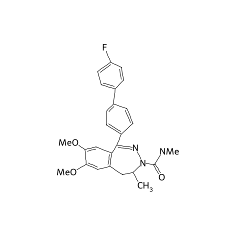 CNC(=O)N1N=C(c2ccc(-c3ccc(F)cc3)cc2)c2cc(OC)c(OC)cc2CC1C